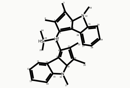 CC1=C(C)C2C(=[C]1[Hf]([C]1=C3c4ccccc4N(C)C3C(C)=C1C)[SiH](C)C)c1ccccc1N2C